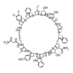 CCCC[C@H]1C(=O)N2C[C@H](O)C[C@@H]2C(=O)N[C@@H](CC(=O)O)C(=O)N[C@@H](C(C)C)C(=O)N(C)[C@H](Cc2ccccc2)C(=O)C[C@@H](CCC(N)=O)C(=O)N2C[C@H](O)C[C@@H]2C(=O)N[C@@H](Cc2c[nH]c3ccccc23)C(=O)N[C@@H](Cc2ccc(O)cc2)C(=O)N[C@@H](CC(C)C)C(=O)N[C@H](C(=O)NCC(N)=O)CSCC(=O)N[C@@H](Cc2ccc(F)c(F)c2)C(=O)N(C)[C@@H](Cc2ccccc2)C(=O)N1C